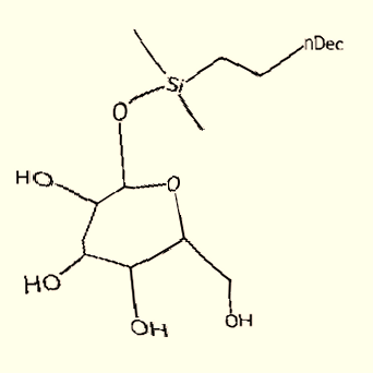 CCCCCCCCCCCC[Si](C)(C)OC1OC(CO)C(O)C(O)C1O